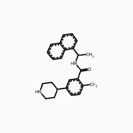 Cc1ccc(C2CCNCC2)cc1C(=O)NC(C)c1cccc2ccccc12